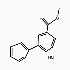 COC(=O)c1cccc(-c2ccccc2)c1.Cl